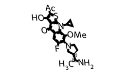 COc1c(N2CC[C@@H]([C@H](C)N)C2)c(F)cc2c(=O)c3c(O)c(C(C)=O)sc3n(C3CC3)c12